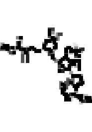 CSc1ncnn2c([C@@H]3O[C@H](CN4CC(F)(F)C[C@H]4CCNC(=O)OC(C)(C)C)C4OC(C)(C)O[C@H]43)ccc12